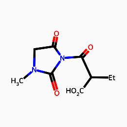 CCC(C(=O)O)C(=O)N1C(=O)CN(C)C1=O